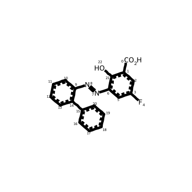 O=C(O)c1cc(F)cc(/N=N/c2ccccc2-c2ccccc2)c1O